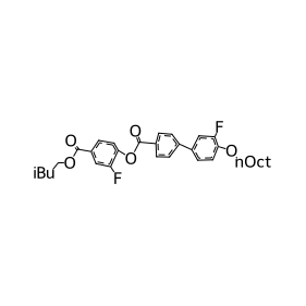 CCCCCCCCOc1ccc(-c2ccc(C(=O)Oc3ccc(C(=O)OCC(C)CC)cc3F)cc2)cc1F